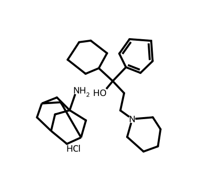 Cl.NC12CC3CC(CC(C3)C1)C2.OC(CCN1CCCCC1)(c1ccccc1)C1CCCCC1